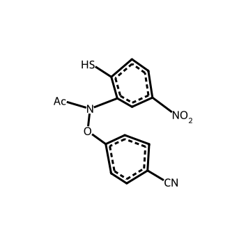 CC(=O)N(Oc1ccc(C#N)cc1)c1cc([N+](=O)[O-])ccc1S